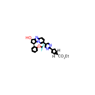 CCOC(=O)[C@H]1[C@@H]2C=C(c3ncc(-c4ccc5nc6c(n5c4)[C@@H](c4ccccc4OC(F)F)C[C@H]6O)cn3)C[C@@H]21